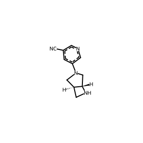 N#Cc1cncc(N2C[C@@H]3CN[C@H]3C2)c1